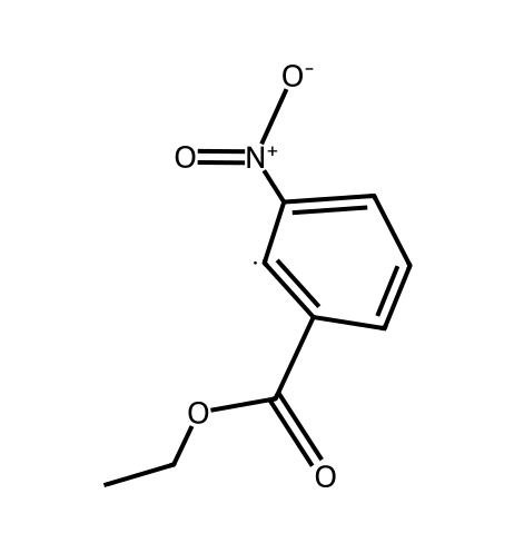 CCOC(=O)c1[c]c([N+](=O)[O-])ccc1